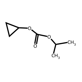 CC(C)OC(=O)OC1CC1